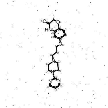 O=C1COc2ccc(OCCCN3CCN(c4ncccn4)CC3)cc2N1